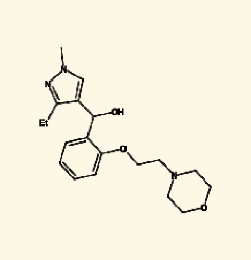 CCc1nn(C)cc1C(O)c1ccccc1OCCN1CCOCC1